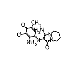 CC1=CC(=Nc2c(N)n3n(c2=O)CCCC3)C(N)=C(Cl)C1=O